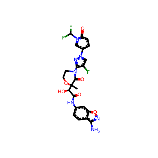 CC1(C(O)C(=O)Nc2ccc3c(N)noc3c2)OCCN(c2nn(-c3ccc(=O)n(C(F)F)c3)cc2F)C1=O